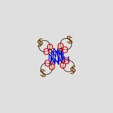 c1c2c(cc3c1-c1nc-3nc3[nH]c(nc4nc(nc5[nH]c(n1)c1cc6c(cc51)OCCCCCCSSCCCCCCO6)-c1cc5c(cc1-4)OCCCCCCSSCCCCCCO5)c1cc4c(cc31)OCCCCCCSSCCCCCCO4)OCCCCCCSSCCCCCCO2